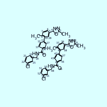 Cc1nnc(-c2ccc(C)c(-c3ccc(C(=O)NCc4cccc(Cl)c4)cc3)c2)o1.Cc1nnc(-c2ccc(C)c(-c3ccc(C(=O)NCc4cccc(Cl)c4)cc3)c2)o1